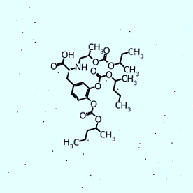 CCCC(C)OC(=O)Oc1ccc(C[C@H](NCC(C)OC(=O)OC(C)CC)C(=O)O)cc1OC(=O)OC(C)CCC